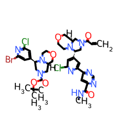 C=CC(=O)N1C[C@@H]2COCCN2[C@@H](c2cc(Cl)nc(-c3cc(C(=O)NC)ncn3)c2)C1.CC(C)(C)OC(=O)N1C[C@@H]2COCCN2[C@H](c2cc(Cl)nc(Br)c2)C1